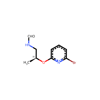 C[C@@H](CNC=O)Oc1cccc(Br)n1